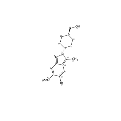 COc1cc2nn([C@H]3CC[C@H](CO)CC3)c(C)c2cc1Br